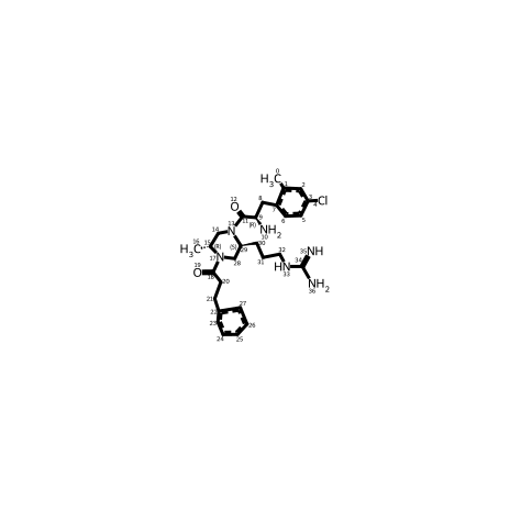 Cc1cc(Cl)ccc1C[C@@H](N)C(=O)N1C[C@@H](C)N(C(=O)CCc2ccccc2)C[C@@H]1CCCNC(=N)N